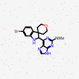 CNc1nc(C2Nc3cc(Br)ccc3C23CCOCC3)c2nc[nH]c2n1